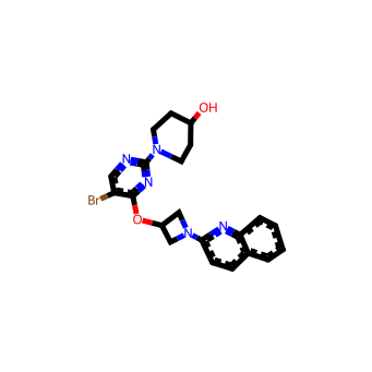 OC1CCN(c2ncc(Br)c(OC3CN(c4ccc5ccccc5n4)C3)n2)CC1